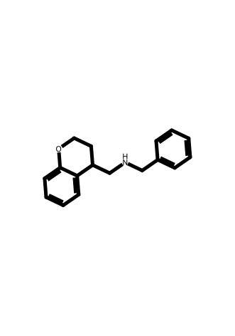 c1ccc(CNCC2CCOc3ccccc32)cc1